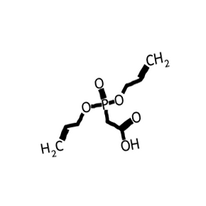 C=CCOP(=O)(CC(=O)O)OCC=C